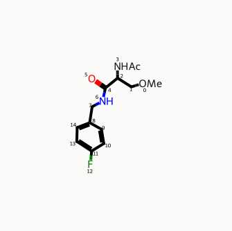 COCC(NC(C)=O)C(=O)NCc1ccc(F)cc1